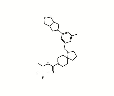 Cc1cc(CN2CCCC23CCN(C(=O)OC(C)C(F)(F)F)CC3)cc(N2CC3COCC3C2)c1